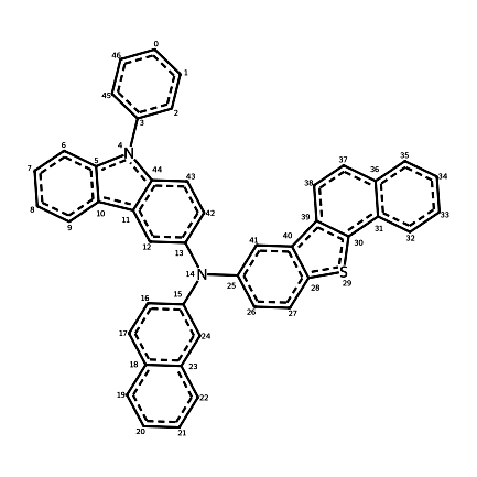 c1ccc(-n2c3ccccc3c3cc(N(c4ccc5ccccc5c4)c4ccc5sc6c7ccccc7ccc6c5c4)ccc32)cc1